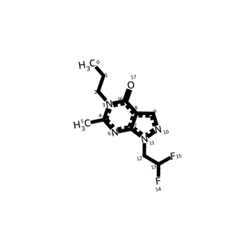 CCCn1c(C)nc2c(cnn2CC(F)F)c1=O